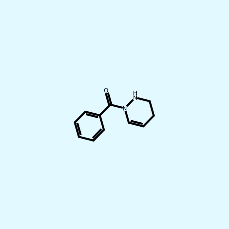 O=C(c1ccccc1)N1C=CCCN1